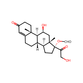 C[C@]12CCC(=O)C=C1CC[C@@H]1[C@@H]2[C@@H](O)C[C@@]2(C)[C@H]1CC[C@]2(OC=O)C(=O)CO